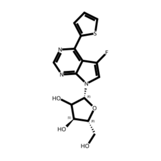 OC[C@H]1O[C@@H](n2cc(F)c3c(-c4cccs4)ncnc32)C(O)[C@@H]1O